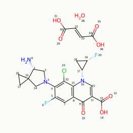 N[C@@H]1CN(c2c(F)cc3c(=O)c(C(=O)O)cn([C@@H]4C[C@@H]4F)c3c2Cl)CC12CC2.O.O=C(O)/C=C/C(=O)O